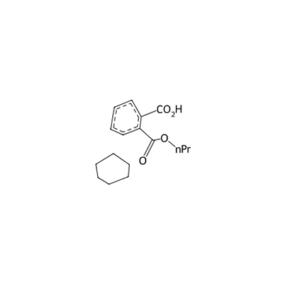 C1CCCCC1.CCCOC(=O)c1ccccc1C(=O)O